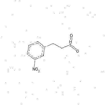 O=[N+]([O-])c1cccc(CC[SH](=O)=O)c1